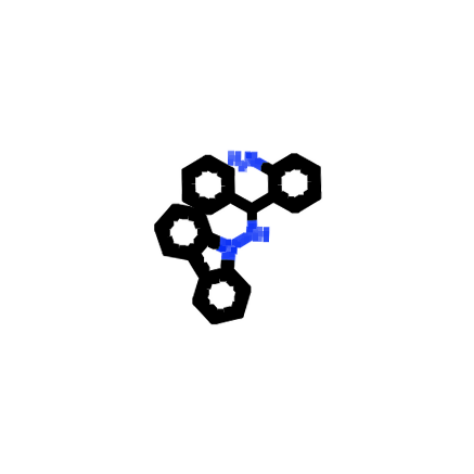 Nc1ccccc1C(Nn1c2ccccc2c2ccccc21)c1ccccc1